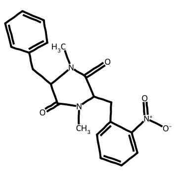 CN1C(=O)C(Cc2ccccc2[N+](=O)[O-])N(C)C(=O)C1Cc1ccccc1